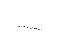 CCNCCCCCCCCNF